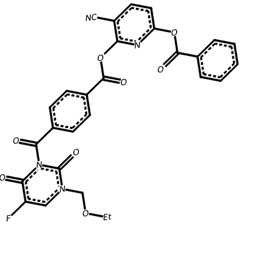 CCOCn1cc(F)c(=O)n(C(=O)c2ccc(C(=O)Oc3nc(OC(=O)c4ccccc4)ccc3C#N)cc2)c1=O